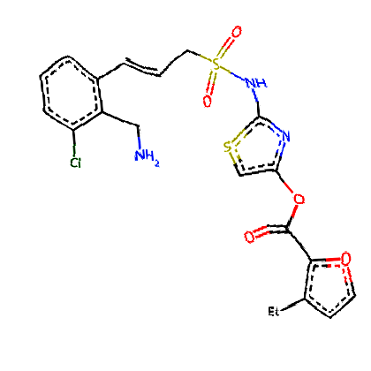 CCc1ccoc1C(=O)Oc1csc(NS(=O)(=O)CC=Cc2cccc(Cl)c2CN)n1